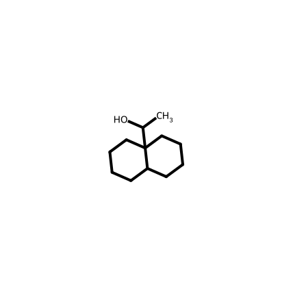 CC(O)C12CCCCC1CCCC2